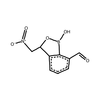 O=Cc1cccc2c1B(O)OC2C[N+](=O)[O-]